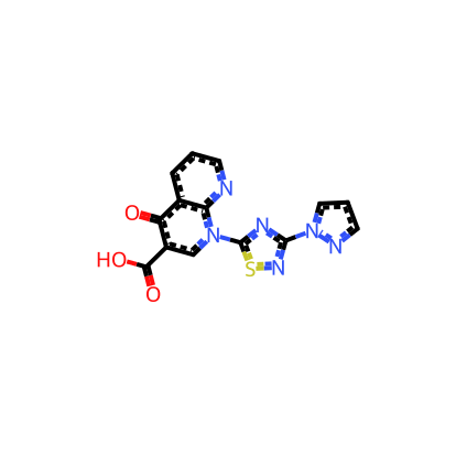 O=C(O)c1cn(-c2nc(-n3cccn3)ns2)c2ncccc2c1=O